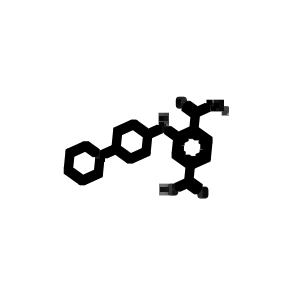 NC(=O)c1ccc(C(=O)O)cc1NC1CCC(N2CCCCC2)CC1